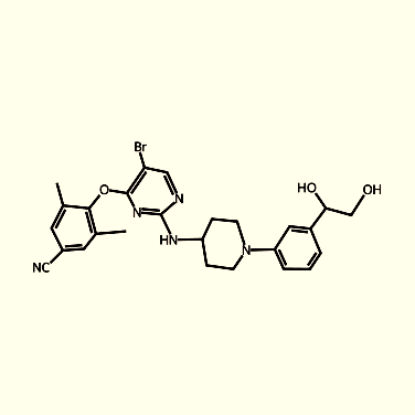 Cc1cc(C#N)cc(C)c1Oc1nc(NC2CCN(c3cccc(C(O)CO)c3)CC2)ncc1Br